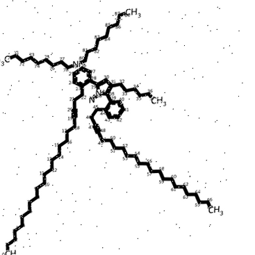 CCCCCCCCCCCCCCCCCCCC#CCCc1ccccc1C1=CC(CCCCCC)=C(c2ccccc2CCC#CCCCCCCCCCCCCCCCCCCC)[N+]1=[N-].CCCCCCCC[CH2][Ni][CH2]CCCCCCCC